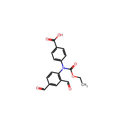 CCOC(=O)N(c1ccc(C(=O)O)cc1)c1ccc(C=O)cc1C=O